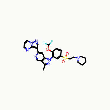 Cc1nn(-c2cc(S(=O)(=O)CCN3CCCCC3)ccc2OC(F)F)c2cc(-c3cnn4cccnc34)ncc12